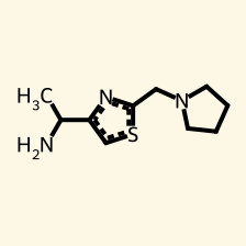 CC(N)c1csc(CN2CCCC2)n1